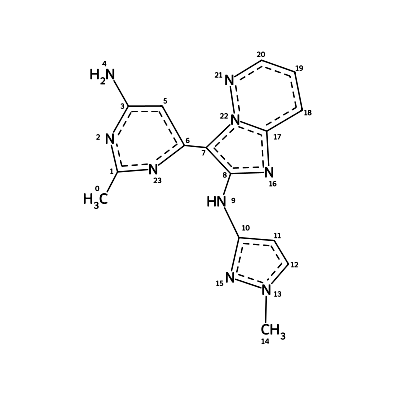 Cc1nc(N)cc(-c2c(Nc3ccn(C)n3)nc3cccnn23)n1